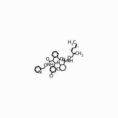 C=C(/C=C\C=C/C)CONC(=O)C1CCCCC1N1C(=O)c2ccccc2C(C(=O)NOCc2ccccn2)C1c1ccc(Cl)cc1Cl